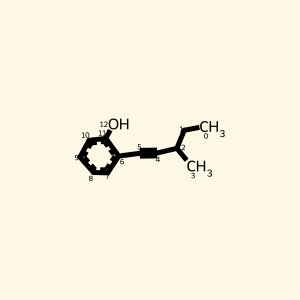 CCC(C)C#Cc1ccccc1O